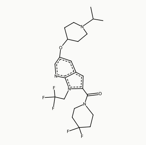 CC(C)N1CCC(Oc2cnc3c(c2)cc(C(=O)N2CCC(F)(F)CC2)n3CC(F)(F)F)CC1